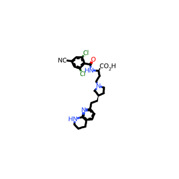 N#Cc1cc(Cl)c(C(=O)N[C@H](CCN2CC[C@@H](CCc3ccc4c(n3)NCCC4)C2)C(=O)O)c(Cl)c1